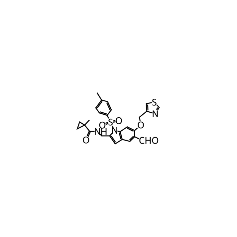 Cc1ccc(S(=O)(=O)n2c(CNC(=O)C3(C)CC3)cc3cc(C=O)c(OCc4cscn4)cc32)cc1